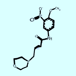 COc1ccc(NC(=O)/C=C/CN2CCOCC2)cc1[N+](=O)[O-]